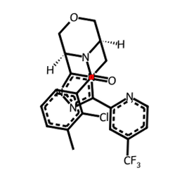 Cc1cccc(C(=O)N2[C@H]3COC[C@@H]2c2nnc(-c4cc(C(F)(F)F)ccn4)n2C3)c1Cl